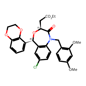 CCOC(=O)C[C@@H]1O[C@@H](c2cccc3c2OCCO3)c2cc(Cl)ccc2N(Cc2ccc(OC)cc2OC)C1=O